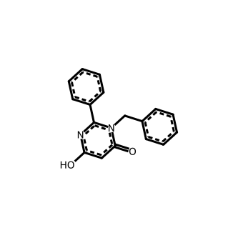 O=c1cc(O)nc(-c2ccccc2)n1Cc1ccccc1